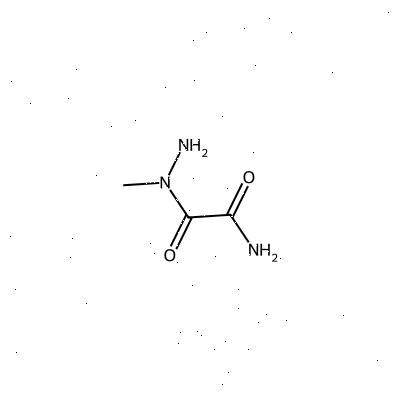 CN(N)C(=O)C(N)=O